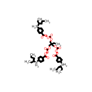 CCC=C(CC)[SiH2]c1ccc(C(=O)OOC(=O)OCC(CC)(COC(=O)OOC(=O)c2ccc([SiH2]C(=CCC)CC)cc2)COC(=O)OOC(=O)c2ccc([SiH2]C(=CCC)CC)cc2)cc1